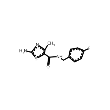 Cc1nc(N)sc1C(=O)NCc1ccc(F)cc1